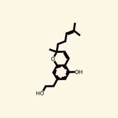 CC(C)=CCCC1(C)C=Cc2c(O)cc(CCO)cc2O1